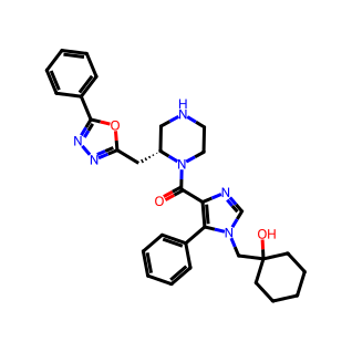 O=C(c1ncn(CC2(O)CCCCC2)c1-c1ccccc1)N1CCNC[C@H]1Cc1nnc(-c2ccccc2)o1